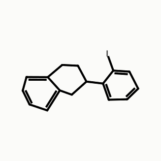 Ic1ccccc1C1CCc2ccccc2C1